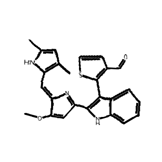 COC1=CC(c2[nH]c3ccccc3c2-c2sccc2C=O)=NC1=Cc1[nH]c(C)cc1C